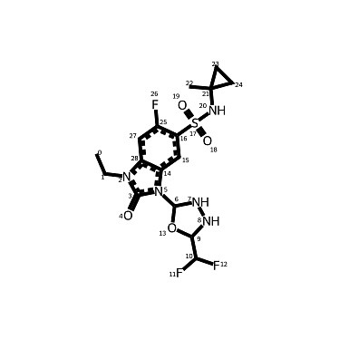 CCn1c(=O)n(C2NNC(C(F)F)O2)c2cc(S(=O)(=O)NC3(C)CC3)c(F)cc21